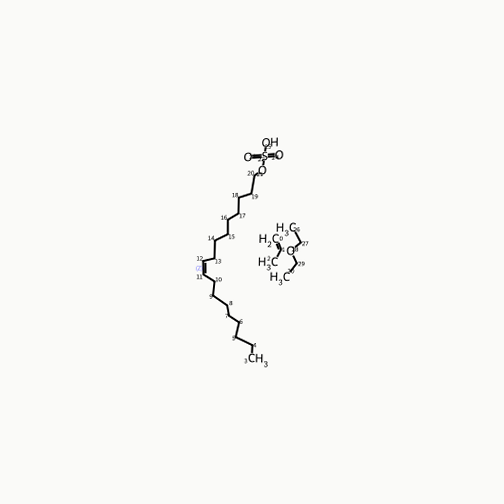 C=CC.CCCCCCCC/C=C\CCCCCCCCOS(=O)(=O)O.CCOCC